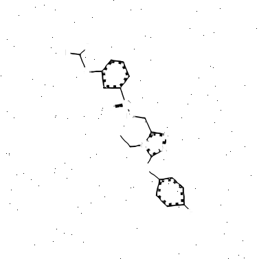 CCn1c(Oc2ccc(F)cc2)nnc1[C@@H](C)NS(=O)(=O)c1cccc(OC(F)F)c1